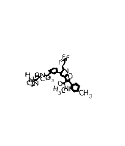 CNC(=O)c1c(-c2ccc(C)cc2)oc2nc(CCC(F)(F)F)c(-c3cccc(C(=O)NC(C)(C)c4ncon4)c3)cc12